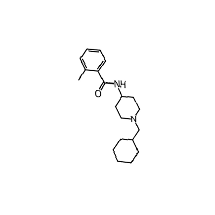 Cc1ccccc1C(=O)NC1CCN(CC2CCCCC2)CC1